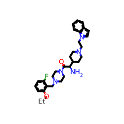 CCOc1cccc(F)c1CN1CCN(C(=O)[C@H](N)C2CCN(CCn3ccc4ccccc43)CC2)CC1